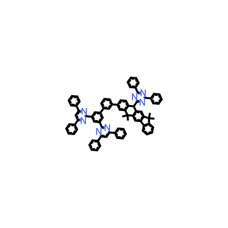 CC1(C)c2ccccc2-c2cc3c(cc21)C(c1nc(-c2ccccc2)nc(-c2ccccc2)n1)c1ccc(-c2cccc(-c4cc(-c5nc(-c6ccccc6)cc(-c6ccccc6)n5)cc(-c5nc(-c6ccccc6)cc(-c6ccccc6)n5)c4)c2)cc1C3(C)C